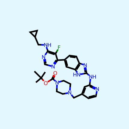 CC(C)(C)OC(=O)N1CCN(Cc2ccnc(Nc3nc4ccc(-c5ncnc(NCC6CC6)c5F)cc4[nH]3)c2)CC1